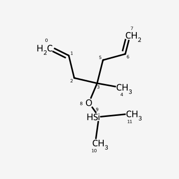 C=CCC(C)(CC=C)O[SiH](C)C